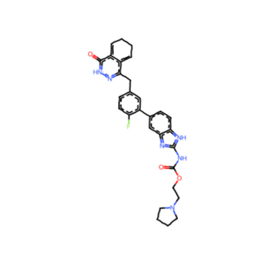 O=C(Nc1nc2cc(-c3cc(Cc4n[nH]c(=O)c5c4=CCCC=5)ccc3F)ccc2[nH]1)OCCN1CCCC1